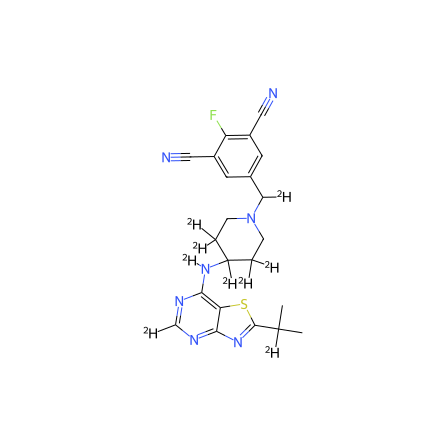 [2H]c1nc(N([2H])C2([2H])C([2H])([2H])CN(C([2H])c3cc(C#N)c(F)c(C#N)c3)CC2([2H])[2H])c2sc(C([2H])(C)C)nc2n1